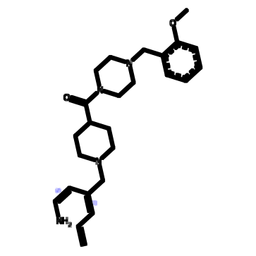 C=C/C=C(\C=C/N)CN1CCC(C(=O)N2CCN(Cc3ccccc3OC)CC2)CC1